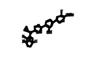 COc1ncc(-c2ccc(-c3ncc(N(C4CC4)[C@H]4C[C@@H]5CC[C@@H](N5)[C@H]4F)nn3)c(O)c2)cc1F